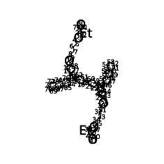 CCC1(COCCCCCCOc2ccc(N(c3ccc(-c4ccc(N(c5ccc(OCCCCCCOCC6(CC)COC6)cc5)c5ccc6cc7ccccc7cc6c5)cc4)cc3)c3ccc4cc5ccccc5cc4c3)cc2)COC1